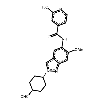 COc1cc2nn([C@H]3CC[C@H](C=O)CC3)cc2cc1NC(=O)c1ccnc(C(F)(F)F)n1